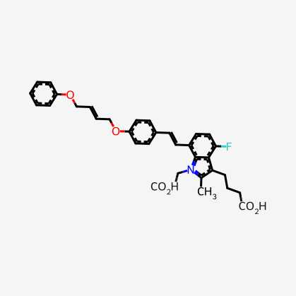 Cc1c(CCCC(=O)O)c2c(F)ccc(C=Cc3ccc(OCC=CCOc4ccccc4)cc3)c2n1CC(=O)O